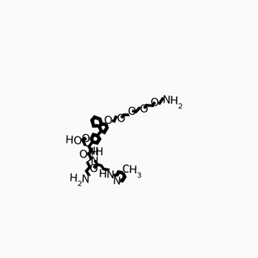 Cc1ccnc(NCCCC(=O)N[C@@H](CCCCN)C(=O)N[C@@H](CC(=O)O)c2ccc(-c3ccc(OCCOCCOCCOCCOCCN)c4ccccc34)cc2)c1